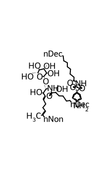 CCCCCCCCCCCCCCCCCC(=O)NS(=O)(=O)c1ccc(N)cc1.CCCCCCCCCCCCCC[C@@H](O)C(=O)N[C@@H](CO[C@@H]1O[C@H](CO)[C@@H](O)[C@H](O)[C@H]1O)[C@H](O)/C=C/CC/C=C(\C)CCCCCCCCC